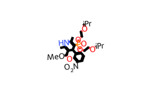 COC(=O)C1=C(C)NC(C)=C(P(=O)(OCCOC(C)C)OCCOC(C)C)C1c1cccc([N+](=O)[O-])c1